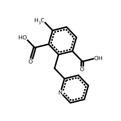 Cc1ccc(C(=O)O)c(Cc2ccccn2)c1C(=O)O